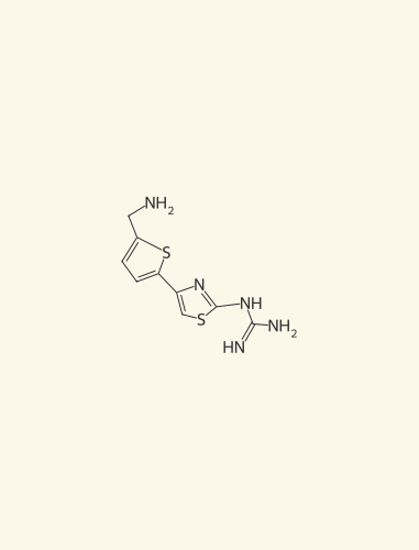 N=C(N)Nc1nc(-c2ccc(CN)s2)cs1